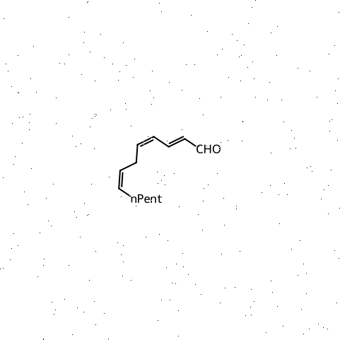 CCCCC/C=C\C/C=C\C=C\C=O